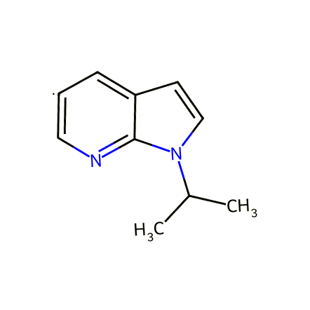 CC(C)n1ccc2c[c]cnc21